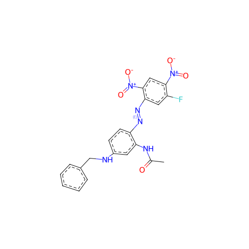 CC(=O)Nc1cc(NCc2ccccc2)ccc1/N=N/c1cc(F)c([N+](=O)[O-])cc1[N+](=O)[O-]